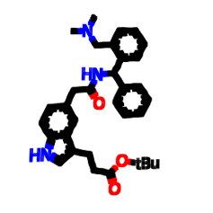 CN(C)Cc1ccccc1C(NC(=O)Cc1ccc2[nH]cc(CCC(=O)OC(C)(C)C)c2c1)c1ccccc1